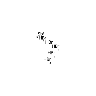 Br.Br.Br.Br.Br.[Sb]